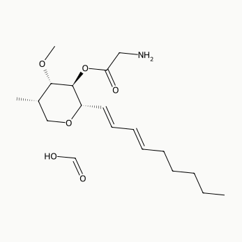 CCCCCC=CC=C[C@@H]1OC[C@H](C)[C@H](OC)[C@H]1OC(=O)CN.O=CO